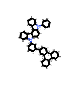 c1ccc(-n2c3ccccc3c3c4c5ccccc5n(-c5cccc(-c6ccc7c8ccccc8c8ccccc8c7c6)c5)c4ccc32)cc1